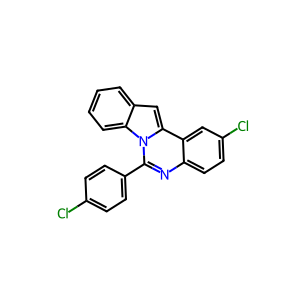 Clc1ccc(-c2nc3ccc(Cl)cc3c3cc4ccccc4n23)cc1